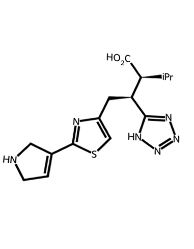 CC(C)[C@H](C(=O)O)[C@H](Cc1csc(C2=CCNC2)n1)c1nnn[nH]1